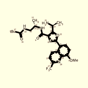 COc1ccc(-c2nc(C(=O)N[C@@H](C)CNC(=O)C(C)(C)C)c([C@H](C)N)o2)c2ccc(C(F)(F)F)nc12